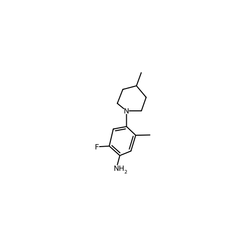 Cc1cc(N)c(F)cc1N1CCC(C)CC1